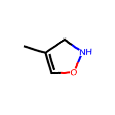 CC1=CON[C]1